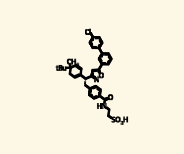 CC(C)(C)C1(C)C=CC([C@@H](Cc2ccc(C(=O)NCCS(=O)(=O)O)cc2)c2cc(-c3cccc(-c4ccc(Cl)cc4)c3)on2)=CC1